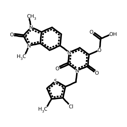 Cc1csc(Cn2c(=O)c(OC(=O)O)cn(-c3ccc4c(c3)n(C)c(=O)n4C)c2=O)c1Cl